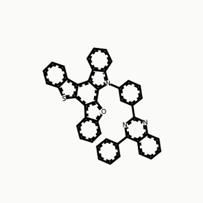 c1ccc(-c2nc(-c3cccc(-n4c5ccccc5c5c6c7ccccc7sc6c6c7ccccc7oc6c54)c3)nc3ccccc23)cc1